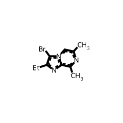 CCc1nc2c(C)nc(C)cn2c1Br